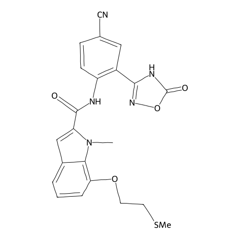 CSCCOc1cccc2cc(C(=O)Nc3ccc(C#N)cc3-c3noc(=O)[nH]3)n(C)c12